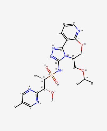 CO[C@H](c1ncc(C)cn1)[C@H](C)S(=O)(=O)Nc1nnc2n1[C@H](COC(C)C)COc1ncccc1-2